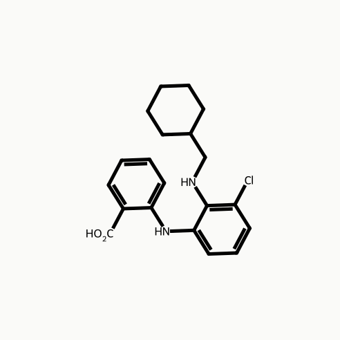 O=C(O)c1ccccc1Nc1cccc(Cl)c1NCC1CCCCC1